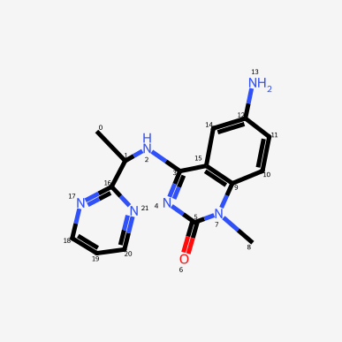 CC(Nc1nc(=O)n(C)c2ccc(N)cc12)c1ncccn1